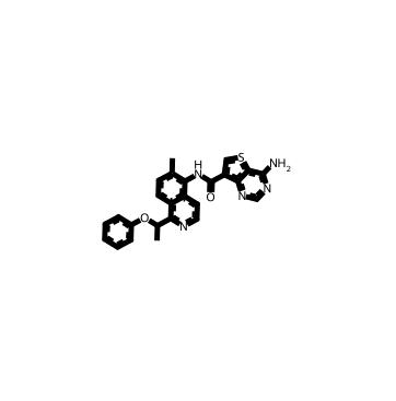 Cc1ccc2c(C(C)Oc3ccccc3)nccc2c1NC(=O)c1csc2c(N)ncnc12